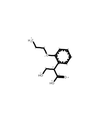 CCCOc1ccccc1C(CO)C(=O)O